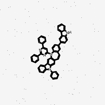 C1=Cc2cc3c(cc2N(c2cc(-c4ccccc4)nc(-c4ccccc4)n2)c2ccc(-c4ccc5[nH]c6ccccc6c5c4)cc21)c1ccccc1n3-c1ccccc1